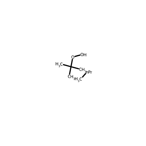 CC(C)(C)OO.CCCC